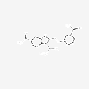 CCOC(=O)C(C)n1c(CCc2cccc(C(=N)N)c2)nc2cc(C(=N)N)ccc21